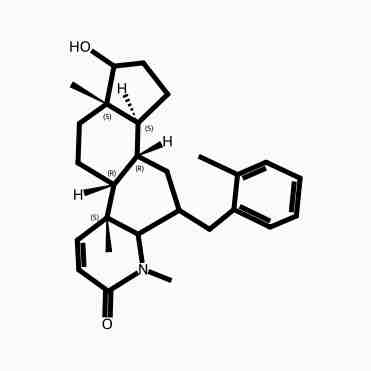 Cc1ccccc1CC1C[C@@H]2[C@@H](CC[C@]3(C)C(O)CC[C@@H]23)[C@@]2(C)C=CC(=O)N(C)C12